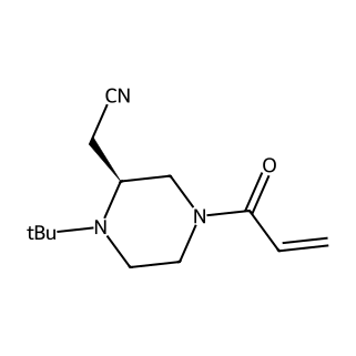 C=CC(=O)N1CCN(C(C)(C)C)[C@@H](CC#N)C1